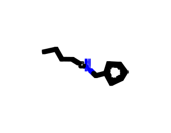 CCCCCNCc1cc[c]cc1